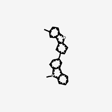 Cc1ccc2oc3ccc(-c4ccc5c(c4)c4ccccc4n5C)cc3c2c1